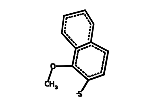 COc1c([S])ccc2ccccc12